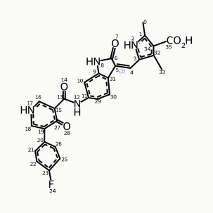 Cc1[nH]c(/C=C2\C(=O)Nc3cc(NC(=O)c4c[nH]cc(-c5ccc(F)cc5)c4=O)ccc32)c(C)c1C(=O)O